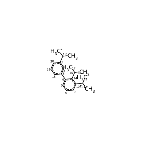 CC(C)c1[c]c(-c2cccc(C(C)C)c2C(C)C)ccc1